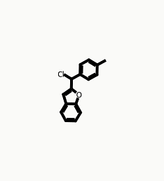 Cc1ccc(C(Cl)c2cc3ccccc3o2)cc1